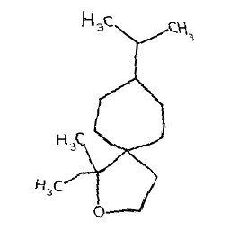 CC(C)C1CCC2(CCOC2(C)C)CC1